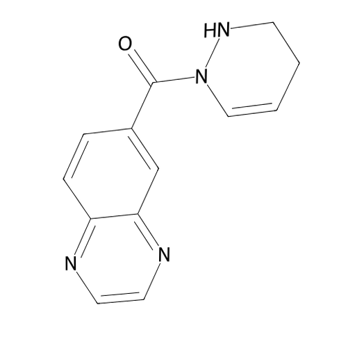 O=C(c1ccc2nccnc2c1)N1C=CCCN1